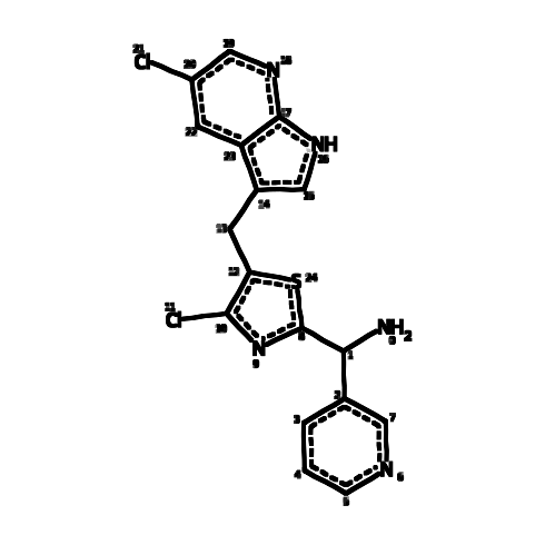 NC(c1cccnc1)c1nc(Cl)c(Cc2c[nH]c3ncc(Cl)cc23)s1